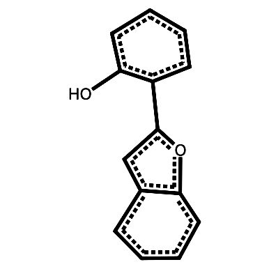 Oc1ccccc1-c1cc2ccccc2o1